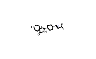 O=C1NC([C@H]2CC[C@H](/C=C/C(F)F)CC2)=NC12CCNCC2